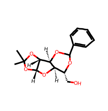 CC1(C)O[C@H]2O[C@H]3[C@H](OC(c4ccccc4)O[C@@H]3CO)[C@H]2O1